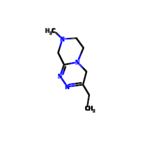 CCC1=NN=C2CN(C)CCN2C1